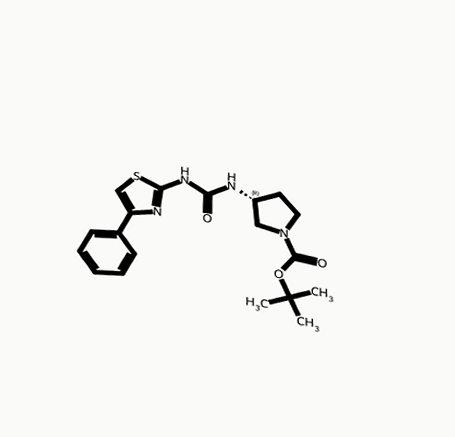 CC(C)(C)OC(=O)N1CC[C@@H](NC(=O)Nc2nc(-c3ccccc3)cs2)C1